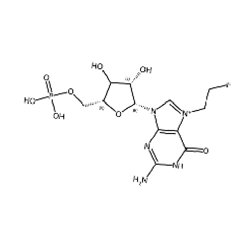 Nc1nc2c(c(=O)[nH]1)[n+](CCF)cn2[C@@H]1O[C@H](COP(=O)(O)O)C(O)[C@@H]1O